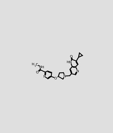 CNC(=O)c1ccc(O[C@@H]2CCN(Cc3cnc4cc(C5CC5)c(=O)[nH]c4c3)C2)cn1